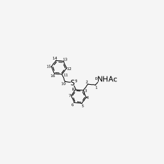 CC(=O)NCCc1ccccc1SCc1ccccc1